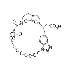 O=C(O)CC1c2ccc3c(c2)CN(CC3)C(=O)c2ccc(cc2Cl)OCCCCCCn2nnc3cc1ccc32